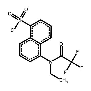 CCN(C(=O)C(F)(F)F)c1cccc2c(S(=O)(=O)Cl)cccc12